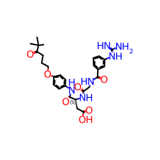 CC(C)(C)C(=O)CCCOc1ccc(NC(=O)[C@H](CC(=O)O)NC(=O)CNC(=O)c2cccc(NC(=N)N)c2)cc1